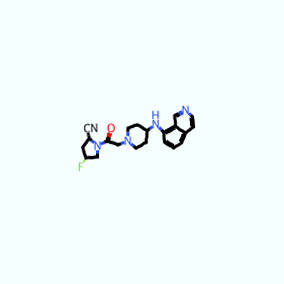 N#CC1C[C@H](F)CN1C(=O)CN1CCC(Nc2cccc3ccncc23)CC1